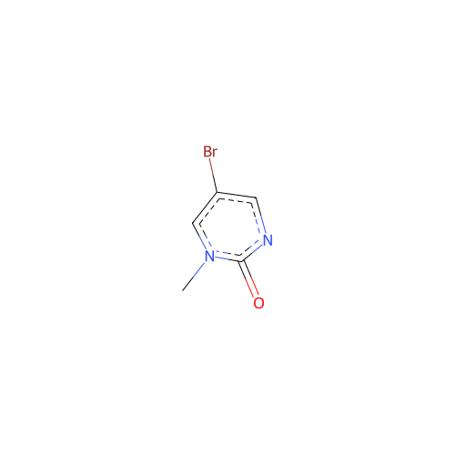 Cn1cc(Br)cnc1=O